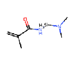 C=C(C)C(=O)N[SiH2]N(C)C